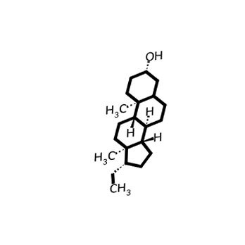 CC[C@H]1CC[C@H]2[C@@H]3CCC4C[C@@H](O)CC[C@]4(C)[C@H]3CC[C@]12C